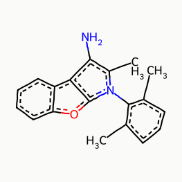 Cc1cccc(C)c1-n1c(C)c(N)c2c3ccccc3oc21